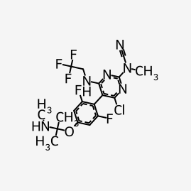 CNC(C)(C)Oc1cc(F)c(-c2c(Cl)nc(N(C)C#N)nc2NCC(F)(F)F)c(F)c1